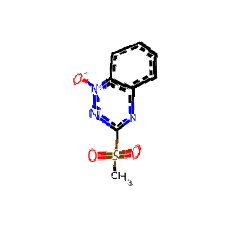 CS(=O)(=O)c1nc2ccccc2[n+]([O-])n1